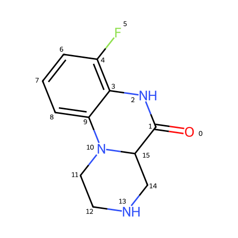 O=C1Nc2c(F)cccc2N2CCNCC12